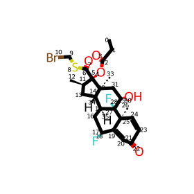 CCC(=O)O[C@]1(C(=O)SCBr)[C@H](C)C[C@H]2[C@@H]3C[C@H](F)C4=CC(=O)C=C[C@]4(C)[C@@]3(F)[C@@H](O)C[C@@]21C